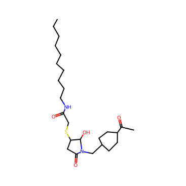 CCCCCCCCCCNC(=O)CSC1CC(=O)N(CC2CCC(C(C)=O)CC2)C1O